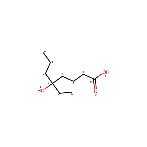 CCCC(O)(CC)CCCC(=O)O